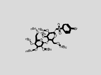 CCCCOCC1O[C@@H](O[C@@H]2C(COCCCC)O[C@@H](CS(=O)(=O)c3ccc(Br)cc3)[C@@H](OCCCC)C2OCCCC)[C@@H](OCCCC)C(OCCCC)[C@@H]1OCCCC